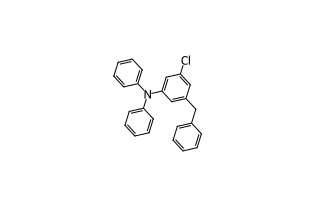 Clc1cc(Cc2ccccc2)cc(N(c2ccccc2)c2ccccc2)c1